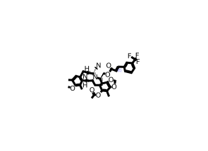 COc1c(C)cc2c(c1C)[C@@H]1C3Cc4c(OC(C)=O)c(C)c5c(c4[C@H](COC(=O)/C=C/c4cccc(C(F)(F)F)c4)N3[C@@H](C#N)[C@@H](C2)N1C)OCO5